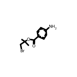 CC(C)(CBr)OC(=O)c1ccc(N)cc1